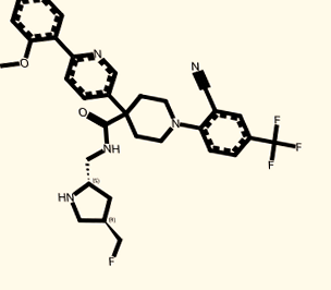 COc1ccccc1-c1ccc(C2(C(=O)NC[C@@H]3C[C@@H](CF)CN3)CCN(c3ccc(C(F)(F)F)cc3C#N)CC2)cn1